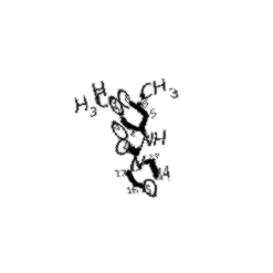 COC(=O)C(CC(C)C)NC(=O)N1CCOCC1